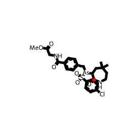 COC(=O)CNC(=O)c1ccc(C[As](C2CC(C)(C)CCNC2=O)S(=O)(=O)c2ccc(Cl)cc2)cc1